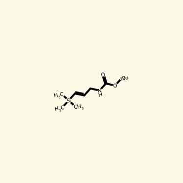 CC(C)(C)OC(=O)NCC=C[Si](C)(C)C